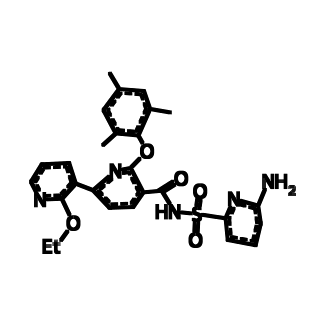 CCOc1ncccc1-c1ccc(C(=O)NS(=O)(=O)c2cccc(N)n2)c(Oc2c(C)cc(C)cc2C)n1